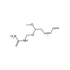 C=C/C=C\CC(OC)OCNC(=C)N